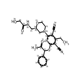 CCc1c(C#N)c(SC(C(N)=O)c2ccccc2)nc(N2CCO[C@H](CNC(=O)CO)C2)c1C#N